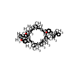 COC1(c2ccnn2Cc2ccc(C[C@H]3OC(=O)[C@H](CC(C)C)N(C)C(=O)[C@@H](C)OC(=O)[C@H](CC(C)C)N(C)C(=O)[C@@H](Cc4ccc(Cn5nccc5C5(OC)CCCC5)cc4)OC(=O)[C@H](CC(C)C)N(C)C(=O)[C@@H](C)OC(=O)C(CC(C)C)N(C)C3=O)cc2)CCCC1